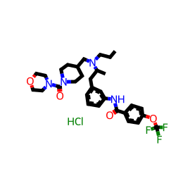 CCCN(CC1CCN(C(=O)N2CCOCC2)CC1)C(C)Cc1cccc(NC(=O)c2ccc(OC(F)(F)F)cc2)c1.Cl